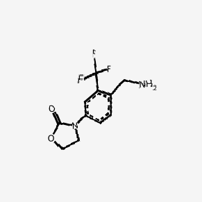 NCc1ccc(N2CCOC2=O)cc1C(F)(F)F